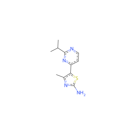 Cc1nc(N)sc1-c1ccnc(C(C)C)n1